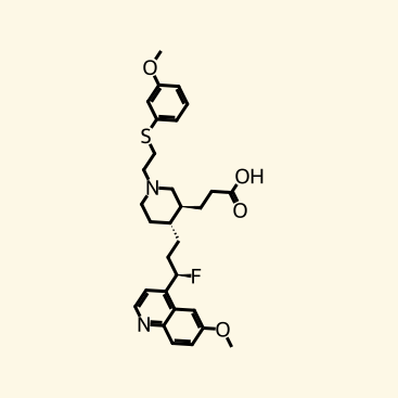 COc1cccc(SCCN2CC[C@@H](CC[C@@H](F)c3ccnc4ccc(OC)cc34)[C@H](CCC(=O)O)C2)c1